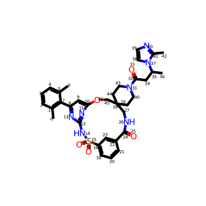 Cc1cccc(C)c1-c1cc2nc(n1)NS(=O)(=O)c1cccc(c1)C(=O)NCC1(CCN(C(=O)CC(C)n3ccnc3C)CC1)CO2